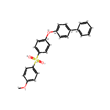 COc1ccc(S(=O)(=O)c2ccc(Oc3ccc(-c4ccccc4)cc3)cc2)cc1